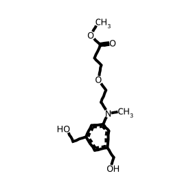 COC(=O)CCOCCN(C)c1cc(CO)cc(CO)c1